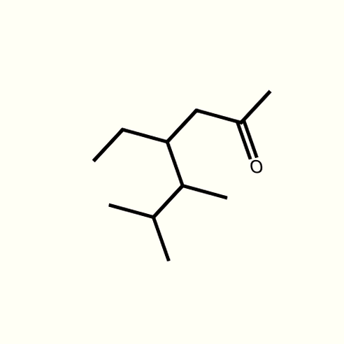 CCC(CC(C)=O)C(C)C(C)C